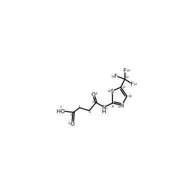 O=C(O)CCC(=O)Nc1ncc(C(F)(F)F)s1